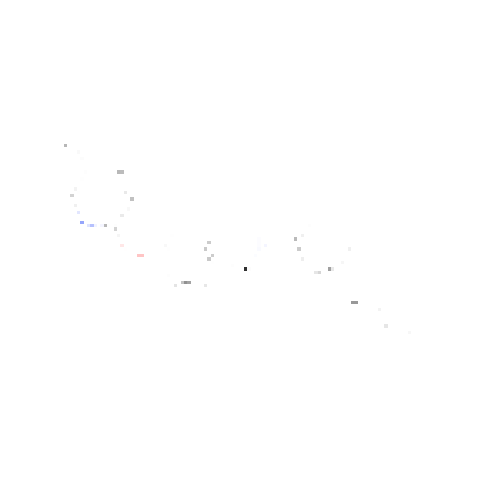 C=C(/C=C(C)/C=C/C=O)NC(=C)c1ccc(Oc2ccc(C#N)cn2)cc1